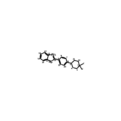 CC1(C)CCC(c2ccc(-c3nc4ccccc4s3)cc2)CC1